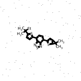 CCC(C)(C)c1ccc(-c2ccc(-c3cc4c(s3)C4(C)C)c3nsnc23)s1